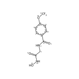 O=C(CNC(=O)c1ccc(OC(F)(F)F)cc1)NO